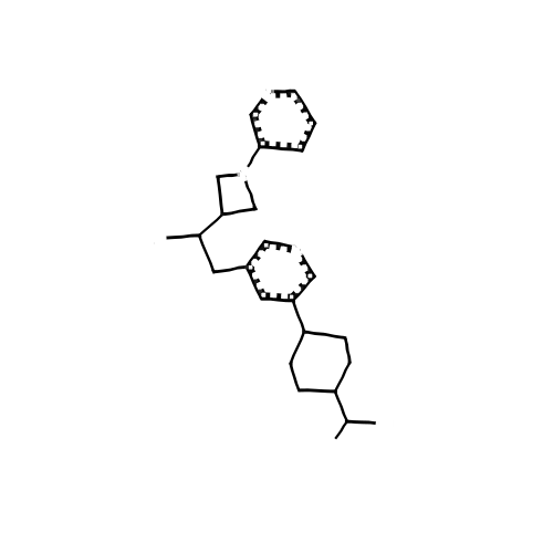 CC(C)C1CCC(c2cncc(CC(C)C3CN(c4cccnc4)C3)c2)CC1